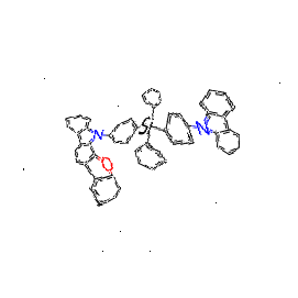 c1ccc([Si](c2ccccc2)(c2ccc(-n3c4ccccc4c4ccccc43)cc2)c2ccc(-n3c4ccccc4c4ccc5c6ccccc6oc5c43)cc2)cc1